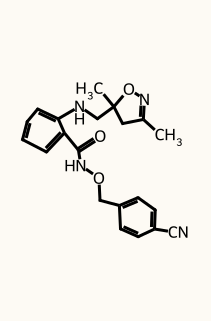 CC1=NOC(C)(CNc2ccccc2C(=O)NOCc2ccc(C#N)cc2)C1